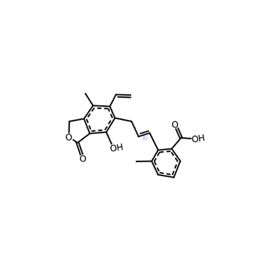 C=Cc1c(C)c2c(c(O)c1C/C=C/c1c(C)cccc1C(=O)O)C(=O)OC2